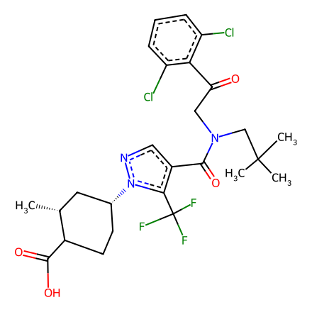 C[C@@H]1C[C@H](n2ncc(C(=O)N(CC(=O)c3c(Cl)cccc3Cl)CC(C)(C)C)c2C(F)(F)F)CCC1C(=O)O